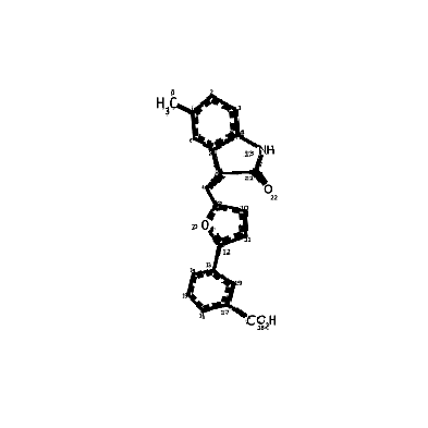 Cc1ccc2c(c1)C(=Cc1ccc(-c3cccc(C(=O)O)c3)o1)C(=O)N2